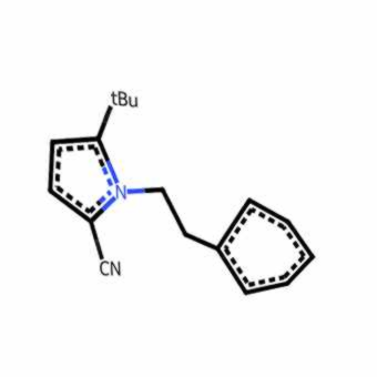 CC(C)(C)c1ccc(C#N)n1CCc1ccccc1